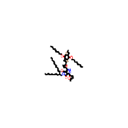 CCCCCCCCCCC(CCCCCCCC)CN1C(=O)c2c(-c3ccc(C)o3)nnc(-c3ccc(-c4cc5c(OCCCCCCCC)c6sc(C)cc6c(OCCCCCCCC)c5s4)o3)c2C1=O